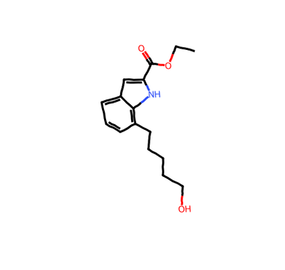 CCOC(=O)c1cc2cccc(CCCCCO)c2[nH]1